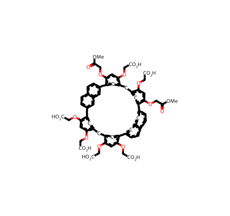 COC(=O)COc1cc(OCC(=O)O)c2cc1-c1ccc3ccc(cc3c1)-c1cc(c(OCC(=O)O)cc1OCC(=O)O)Cc1cc(c(OCC(=O)O)cc1OCC(=O)O)-c1ccc3ccc(cc3c1)-c1cc(c(OCC(=O)O)cc1OCC(=O)OC)C2